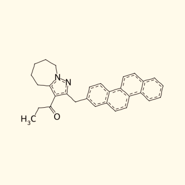 CCC(=O)c1c(Cc2ccc3c(ccc4c5ccccc5ccc34)c2)nn2c1CCCCC2